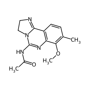 COc1c(C)ccc2c1N=C(NC(C)=O)N1CCN=C21